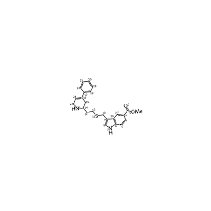 COC(=O)c1ccc2[nH]cc(CSCC[C@@H]3CC(c4ccccc4)=CCN3)c2c1